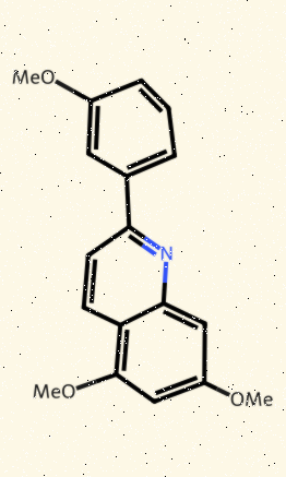 COc1cccc(-c2ccc3c(OC)cc(OC)cc3n2)c1